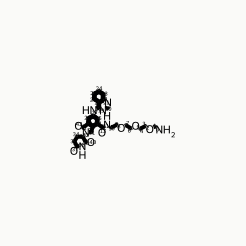 NCOCCOCCOCCNC(=O)c1cc(Nc2ncnc3ccccc23)cc2c1CN(C1CCC(=O)NC1=O)C2=O